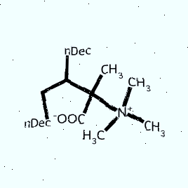 CCCCCCCCCCCC(CCCCCCCCCC)C(C)(C(=O)[O-])[N+](C)(C)C